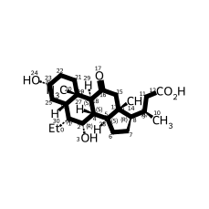 CC[C@H]1[C@@H](O)[C@H]2[C@@H]3CC[C@H]([C@H](C)CC(=O)O)[C@@]3(C)CC(=O)[C@@H]2[C@@]2(C)CC[C@@H](O)C[C@@H]12